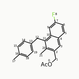 CC(=O)OCc1cc2ccc(F)cc2c(Cc2ccc(C)cc2)c1C